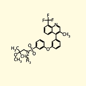 COC(C)(C)CN(C)S(=O)(=O)c1cccc(Oc2cccc(-c3c(C)cnc4c(C(F)(F)F)cccc34)c2)c1